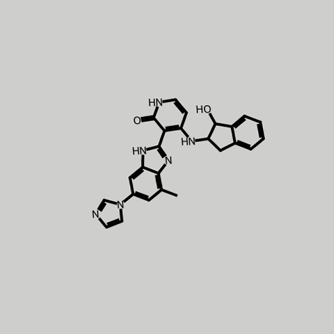 Cc1cc(-n2ccnc2)cc2[nH]c(-c3c(NC4Cc5ccccc5C4O)cc[nH]c3=O)nc12